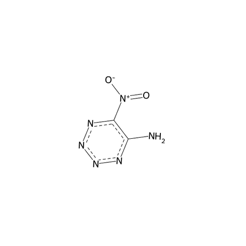 Nc1nnnnc1[N+](=O)[O-]